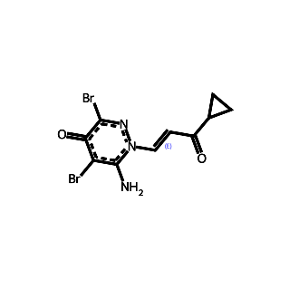 Nc1c(Br)c(=O)c(Br)nn1/C=C/C(=O)C1CC1